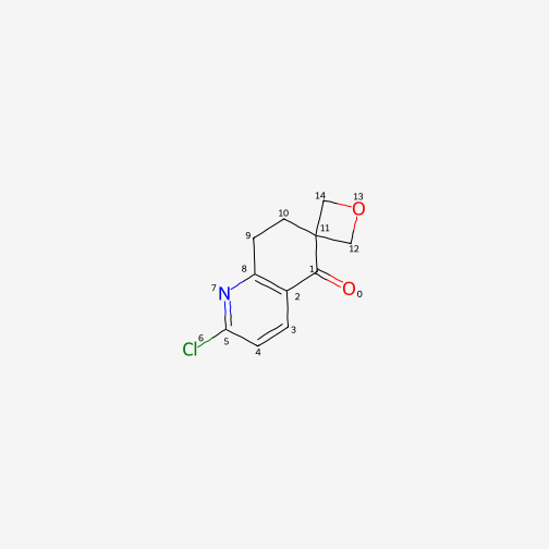 O=C1c2ccc(Cl)nc2CCC12COC2